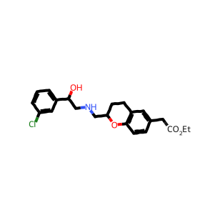 CCOC(=O)Cc1ccc2c(c1)CCC(CNCC(O)c1cccc(Cl)c1)O2